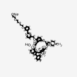 COCCOCCOCCOc1cccc(-c2nccc(COc3ccc4cc3[C@H](C(=O)O)Oc3ncnc5sc(-c6ccc(F)cc6)c(c35)-c3c(C)c(Cl)c(c(Cl)c3C)O[C@H](CN3CCN(C)CC3)CO4)n2)c1